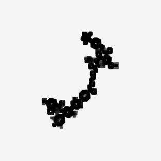 Cc1ncsc1-c1ccc(CNC(=O)[C@@H]2C[C@@H](O)CN2C(=O)[C@@H](NC(=O)COCCOCC(=O)N2CCN(c3ncc(-c4cc(NC(=O)c5ccc(F)cc5C(F)(F)F)c(N5C[C@@H](C)N(C)[C@@H](C)C5)cc4F)cn3)CC2)C(C)(C)C)cc1